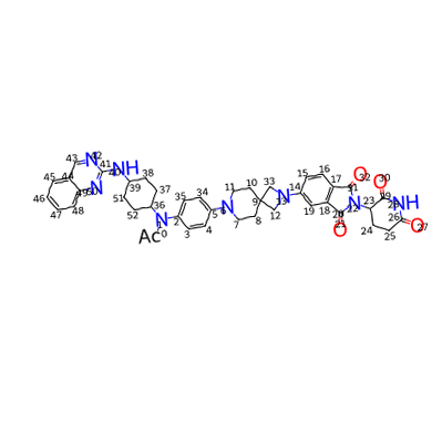 CC(=O)N(c1ccc(N2CCC3(CC2)CN(c2ccc4c(c2)C(=O)N(C2CCC(=O)NC2=O)C4=O)C3)cc1)C1CCC(Nc2ncc3ccccc3n2)CC1